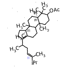 CC(=O)OC1CCC2(C)C3CCC4=C(C(C)C/C=C(\C)C(C)C)CC[C@@]4(C)C3(C)CC[C@H]2C1(C)C